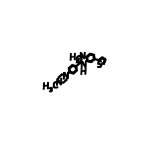 CN1CCN(c2ccc(C(=O)Nc3cc(-c4cccs4)ccc3N)cc2)CC1